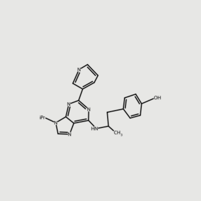 CC(Cc1ccc(O)cc1)Nc1nc(-c2cccnc2)nc2c1ncn2C(C)C